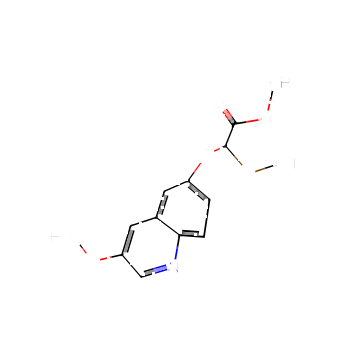 COC(=O)C(Oc1ccc2ncc(OC)cc2c1)SC